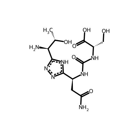 C[C@H](O)[C@H](N)c1nnc([C@H](CC(N)=O)NC(=O)N[C@@H](CO)C(=O)O)[nH]1